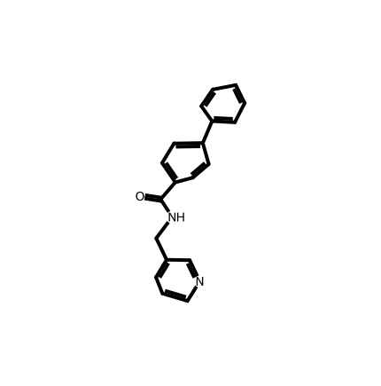 O=C(NCc1cccnc1)c1ccc(-c2ccccc2)cc1